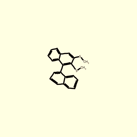 CSc1cc2ccccc2c(-c2cccc3ccccc23)c1SC